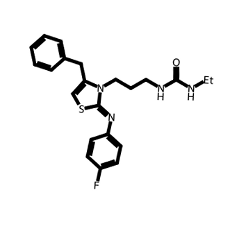 CCNC(=O)NCCCn1c(Cc2ccccc2)cs/c1=N\c1ccc(F)cc1